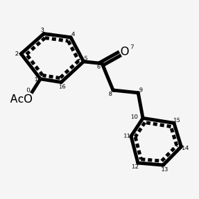 CC(=O)Oc1cccc(C(=O)CCc2ccccc2)c1